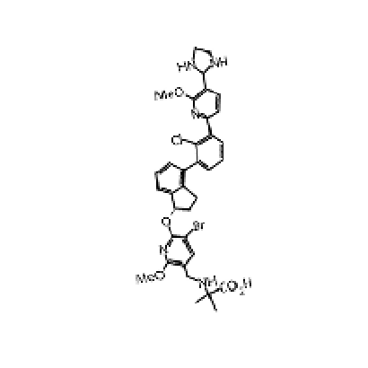 COc1nc(O[C@H]2CCc3c(-c4cccc(-c5ccc(C6NCCN6)c(OC)n5)c4Cl)cccc32)c(Br)cc1CNC(C)(C)C(=O)O